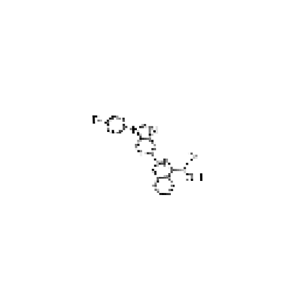 OC(c1nc(-c2ccc3c(c2)ncn3-c2ccc(F)cc2)cc2ccccc12)C1CC1